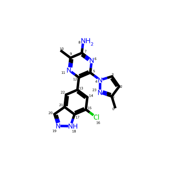 Cc1ccn(-c2nc(N)c(C)nc2-c2cc(Cl)c3[nH]ncc3c2)n1